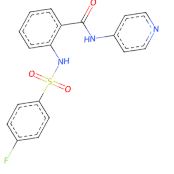 O=C(Nc1ccncc1)c1ccccc1NS(=O)(=O)c1ccc(F)cc1